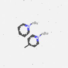 CCCC[n+]1ccc(C)cc1.CCCC[n+]1ccccc1